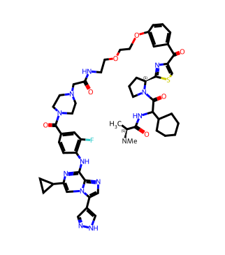 CN[C@@H](C)C(=O)NC(C(=O)N1CCC[C@H]1c1nc(C(=O)c2cccc(OCCOCCNC(=O)CN3CCN(C(=O)c4ccc(Nc5nc(C6CC6)cn6c(-c7cn[nH]c7)cnc56)c(F)c4)CC3)c2)cs1)C1CCCCC1